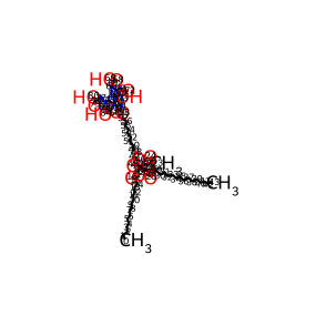 CCCCCCCCCCCCCCCC(=O)OCC(COC(C)=O)(COC(=O)CCCCCCCCCCCCCCC)C(=O)OCCCCCCCCCCCOC(=O)CN(CCN(CC(=O)O)CC(=O)O)CCN(CC(=O)O)CC(=O)O